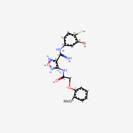 COc1ccccc1OCC(=O)Nc1nonc1C(=N)Nc1ccc(F)c(Br)c1